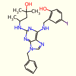 CC(CC(C)(C)O)Nc1nc(NCc2cc(I)ccc2O)c2ncn(Cc3ccccc3)c2n1